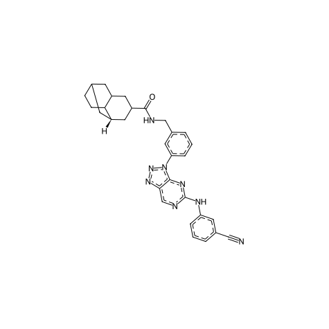 N#Cc1cccc(Nc2ncc3nnn(-c4cccc(CNC(=O)C5CC6CC7CCC6[C@@H](C7)C5)c4)c3n2)c1